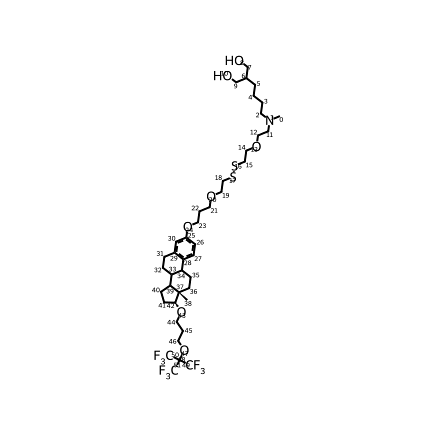 CN(CCCCC(CO)CO)CCOCCSSCCOCCCOc1ccc2c(c1)CCC1C2CC[C@@]2(C)C1CC[C@@H]2OCCCOC(C(F)(F)F)(C(F)(F)F)C(F)(F)F